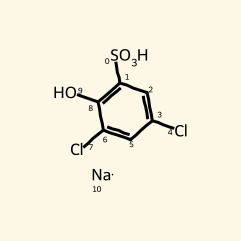 O=S(=O)(O)c1cc(Cl)cc(Cl)c1O.[Na]